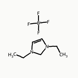 CCN1C=CN(CC)C1.F[B-](F)(F)F